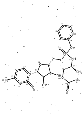 COC1C(O)[C@@H](COP(=O)(N[C@@H](C)COC(=O)C(C)(C)C)Oc2ccccc2)O[C@H]1n1ccc(N)nc1=O